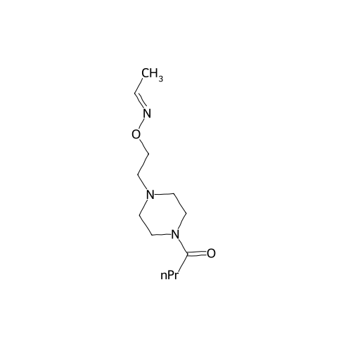 C/C=N/OCCN1CCN(C(=O)CCC)CC1